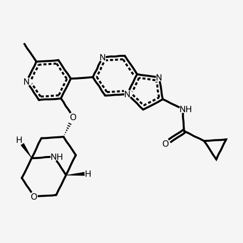 Cc1cc(-c2cn3cc(NC(=O)C4CC4)nc3cn2)c(O[C@H]2C[C@H]3COC[C@@H](C2)N3)cn1